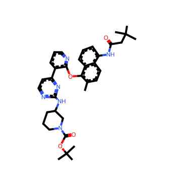 Cc1ccc2c(NC(=O)CC(C)(C)C)cccc2c1Oc1ncccc1-c1ccnc(NC2CCCN(C(=O)OC(C)(C)C)C2)n1